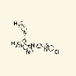 COc1cc2ncnc(Nc3ccc(-c4nc5cc(Cl)ccc5s4)cc3)c2cc1OCCCN1CCN(C)CC1